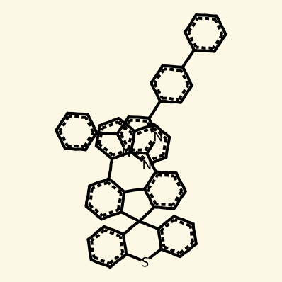 c1ccc(-c2ccc(-c3cc(-c4ccccc4)nc(-c4cccc5c4-c4c(-c6cccc7cccnc67)cccc4C54c5ccccc5Sc5ccccc54)n3)cc2)cc1